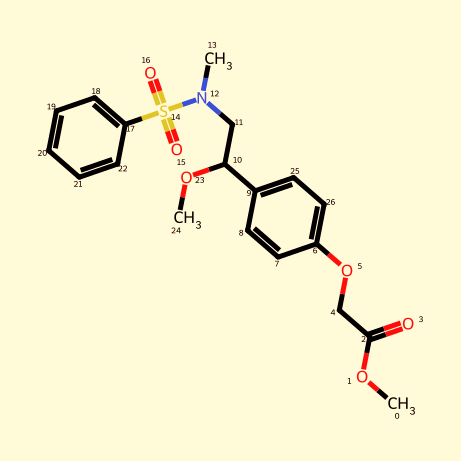 COC(=O)COc1ccc(C(CN(C)S(=O)(=O)c2ccccc2)OC)cc1